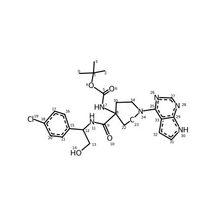 CC(C)(C)OC(=O)NC1(C(=O)NC(CO)c2ccc(Cl)cc2)CCN(c2ncnc3[nH]ccc23)CC1